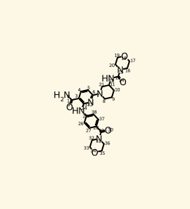 NC(=O)c1ccc(N2CCCC(NC(=O)N3CCOCC3)C2)nc1Nc1ccc(C(=O)N2CCOCC2)cc1